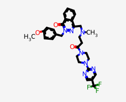 COc1ccc(Cn2nc(CN(C)CCC(=O)N3CCN(c4ncc(C(F)(F)F)cn4)CC3)c3ccccc3c2=O)cc1